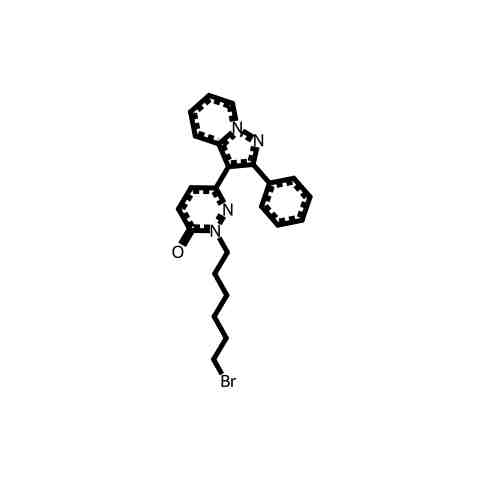 O=c1ccc(-c2c(-c3ccccc3)nn3ccccc23)nn1CCCCCCBr